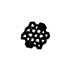 c1cncc(-c2c(-n3c4ccccc4c4ccccc43)c(-n3c4ccccc4c4ccccc43)c(-c3cccnc3)c(-n3c4ccccc4c4ccccc43)c2-n2c3ccccc3c3ccccc32)c1